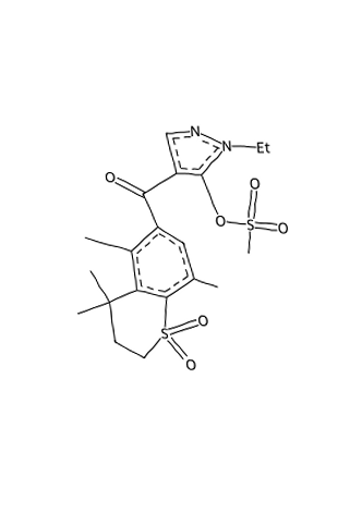 CCn1ncc(C(=O)c2cc(C)c3c(c2C)C(C)(C)CCS3(=O)=O)c1OS(C)(=O)=O